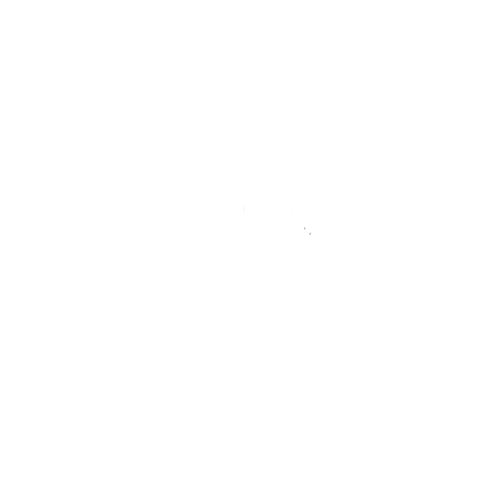 Cc1cc(C)c(-c2c3ccccc3cc3c2c2cccc4c5ccccc5n3c42)c(C)c1